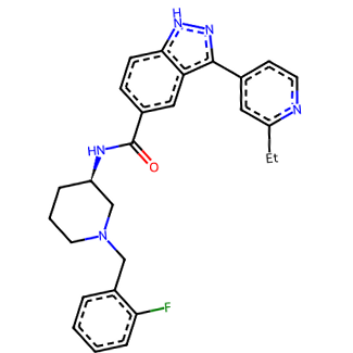 CCc1cc(-c2n[nH]c3ccc(C(=O)N[C@@H]4CCCN(Cc5ccccc5F)C4)cc23)ccn1